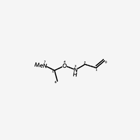 C=CCNOC(C)NC